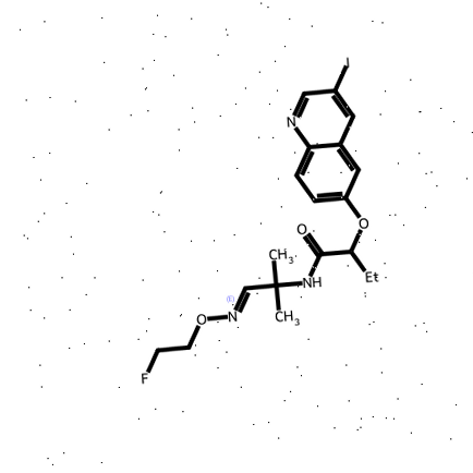 CCC(Oc1ccc2ncc(I)cc2c1)C(=O)NC(C)(C)/C=N/OCCF